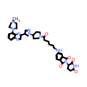 CN1CCN(c2cccc3ncc(C4C=NN(C5CCN(C(=O)CCCCCNc6ccc7c(c6)C(=O)N(C6CCC(=O)NC6=O)C7=O)CC5)C4)nc23)CC1